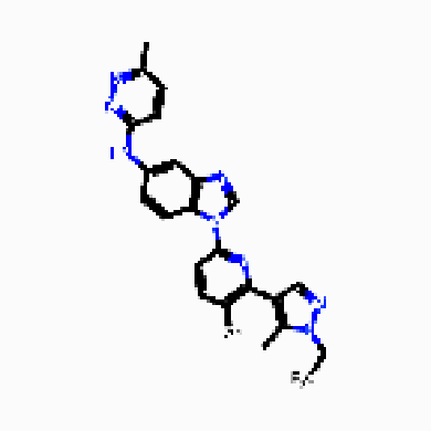 CC(=O)c1ccc(-n2cnc3cc(Nc4ccc(C)nn4)ccc32)nc1-c1cnn(CC(F)(F)F)c1C